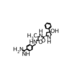 C[C@H](NC(=O)[C@H]1C[C@](O)(c2ccccc2)CN1)C(=O)NCc1ccc(C(=N)N)cc1